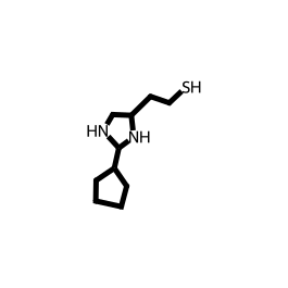 SCCC1CNC(C2CCCC2)N1